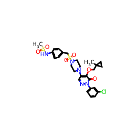 CC1(COc2c(N3CCN(S(=O)(=O)Cc4ccc(NS(C)(=O)=O)cc4)CC3)cnn(-c3cccc(Cl)c3)c2=O)CC1